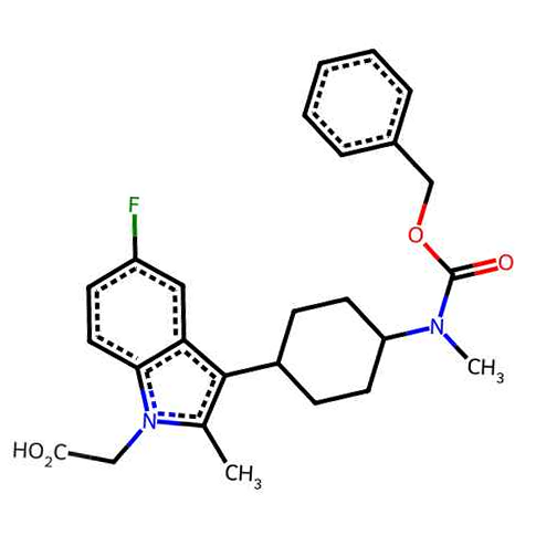 Cc1c(C2CCC(N(C)C(=O)OCc3ccccc3)CC2)c2cc(F)ccc2n1CC(=O)O